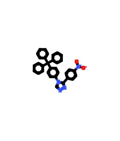 O=[N+]([O-])c1ccc(-c2nncn2-c2ccc(C(c3ccccc3)(c3ccccc3)c3ccccc3)cc2)cc1